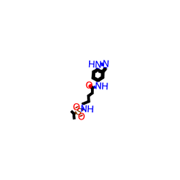 CC(C)S(=O)(=O)NCCCCC(=O)Nc1ccc2[nH]ncc2c1